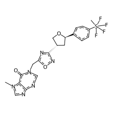 Cn1cnc2ncn(Cc3nc([C@@H]4CO[C@@H](c5ccc(S(C)(F)(F)(F)F)cc5)C4)no3)c(=O)c21